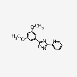 COc1cc(OC)cc(-c2nc(-c3ccccn3)no2)c1